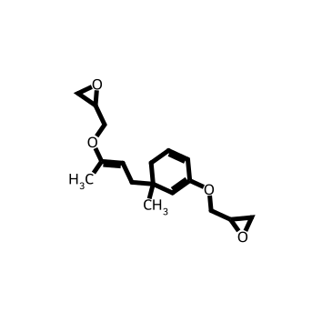 C/C(=C\CC1(C)C=C(OCC2CO2)C=CC1)OCC1CO1